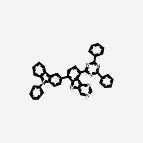 c1ccc(-c2nc(-c3ccccc3)nc(-c3ccc(-c4ccc5c(c4)c4ccccc4n5-c4ccccc4)c4oc5cncnc5c34)n2)cc1